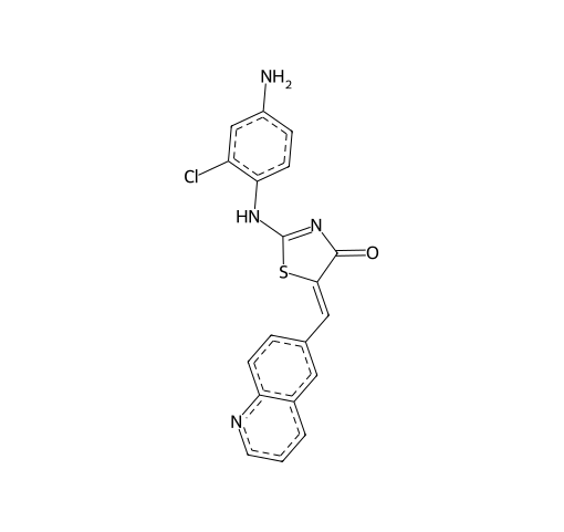 Nc1ccc(NC2=NC(=O)/C(=C/c3ccc4ncccc4c3)S2)c(Cl)c1